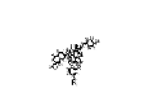 COc1ccc2ccc(S(=O)(=O)N(CC(=O)NCCc3ccc(C)cc3)[C@H]3CCN(Cc4cccc(C#N)c4)C3=O)cc2c1